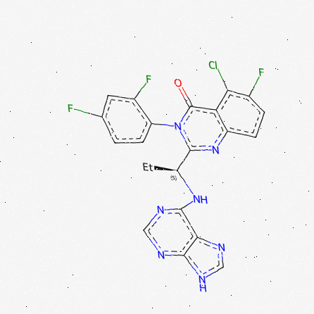 CC[C@H](Nc1ncnc2[nH]cnc12)c1nc2ccc(F)c(Cl)c2c(=O)n1-c1ccc(F)cc1F